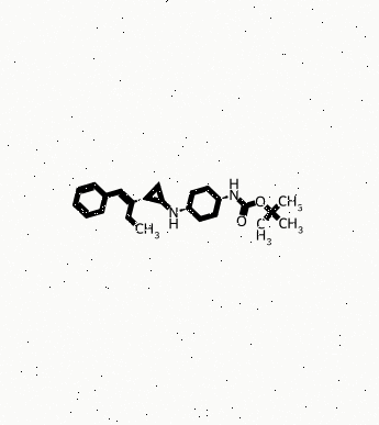 CC/C(=C\C1C=CC=CC1)[C@@H]1CC1N[C@H]1CC[C@@H](NC(=O)OC(C)(C)C)CC1